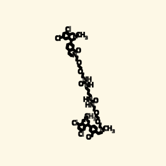 CN(/C=C\c1ccc(C2CN(C)Cc3c(Cl)cc(Cl)cc32)cc1C=O)CCOCCOCCNC(=O)NCCCCNC(=O)NCCOCCOCCn1ccc2ccc(C3CN(C)Cc4c(Cl)cc(Cl)cc43)cc2c1=O